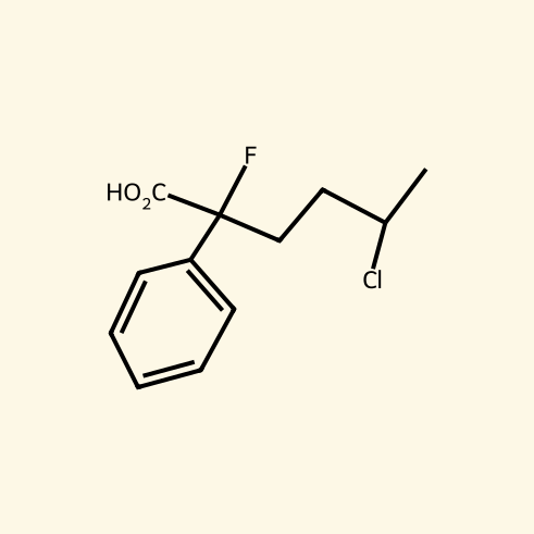 CC(Cl)CCC(F)(C(=O)O)c1ccccc1